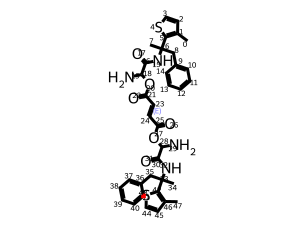 Cc1ccsc1C(C)(Cc1ccccc1)NC(=O)C(N)OC(=O)/C=C/C(=O)OC(N)C(=O)NC(C)(Cc1ccccc1)c1sccc1C